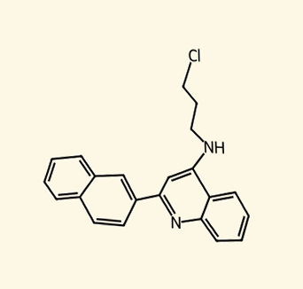 ClCCCNc1cc(-c2ccc3ccccc3c2)nc2ccccc12